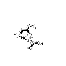 C=CC(N)=O.O=S(O)S(=O)(=O)O